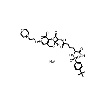 CC(C)(C)c1ccc(S(=O)(=O)NC(CCCC(=O)N[C@@H]2C(=O)N3C(C(=O)[O-])=C(C=NOCCN4CCOCC4)CS[C@@H]23)C(=O)O)cc1.[Na+]